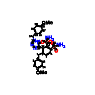 COc1ccc(Cc2ccc(S(N)(=O)=O)c(S(N)(=O)=O)c2-c2nnn(Cc3ccc(OC)cc3)n2)cc1